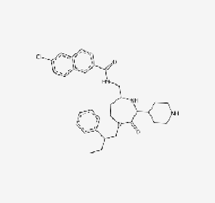 CCC(CN1CCC(CNC(=O)c2ccc3cc(Cl)ccc3c2)NC(C2CCNCC2)C1=O)c1ccccc1